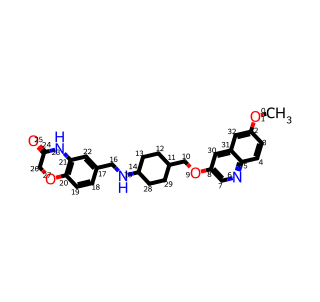 COc1ccc2ncc(OCC3CCC(NCc4ccc5c(c4)NC(=O)CO5)CC3)cc2c1